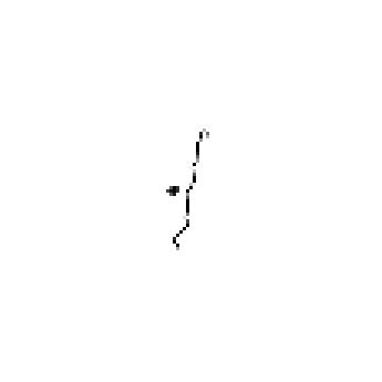 CCCCCCCCCCO.F